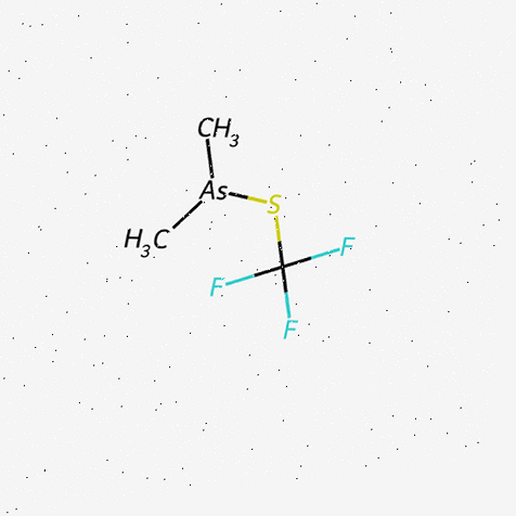 C[As](C)SC(F)(F)F